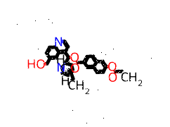 C=CC(=O)Oc1ccc2cc(C(=O)OC(c3ccnc4ccc(CO)cc34)[C@@H]3CC4CCN3C[C@@H]4C=C)ccc2c1